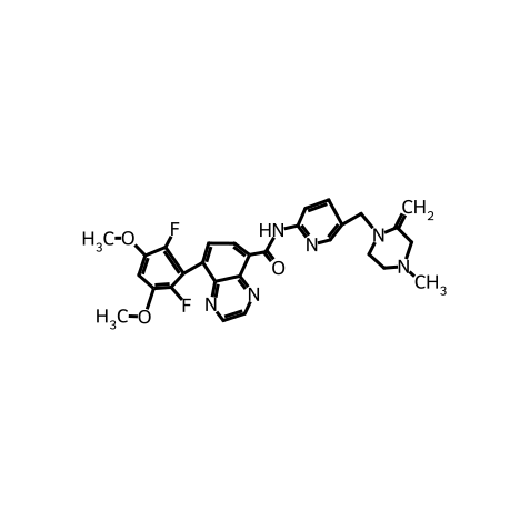 C=C1CN(C)CCN1Cc1ccc(NC(=O)c2ccc(-c3c(F)c(OC)cc(OC)c3F)c3nccnc23)nc1